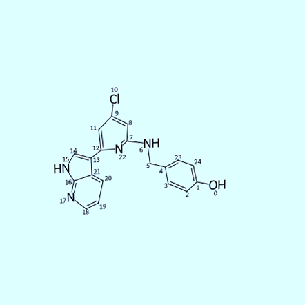 Oc1ccc(CNc2cc(Cl)cc(-c3c[nH]c4ncccc34)n2)cc1